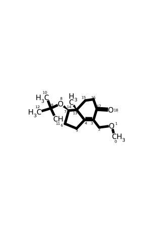 COCC1=C2CC[C@@H](OC(C)(C)C)[C@]2(C)CCC1=O